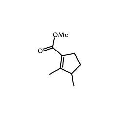 COC(=O)C1=C(C)C(C)CC1